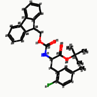 Cc1ccc(F)c(CC(NC(=O)OCC2c3ccccc3-c3ccccc32)C(=O)OC(C)(C)C)c1